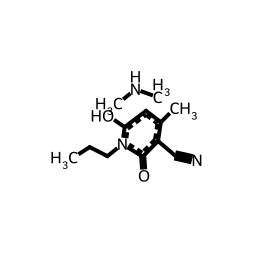 CCCn1c(O)cc(C)c(C#N)c1=O.CNC